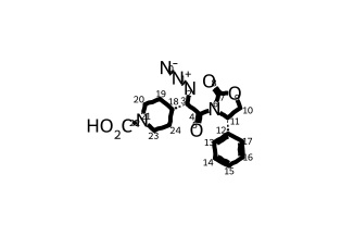 [N-]=[N+]=N[C@H](C(=O)N1C(=O)OC[C@@H]1c1ccccc1)C1CCN(C(=O)O)CC1